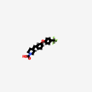 O=C(O)N1CCC(=Cc2cccc(Oc3ccc(C(F)(F)F)cc3)c2)CC1